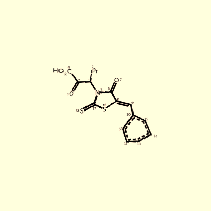 CC(C)C(C(=O)C(=O)O)N1C(=O)/C(=C/c2ccccc2)SC1=S